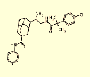 CC(C)(C(=O)NC[C@@H](N)C1C2CC3CC1CC(C(=O)Nc1ccncc1)(C3)C2)c1ccc(Cl)cc1